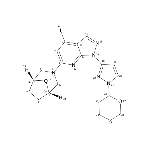 Ic1cc(N2C[C@H]3CC[C@@H](C2)O3)nc2c1cnn2-c1ccn(C2CCCCO2)n1